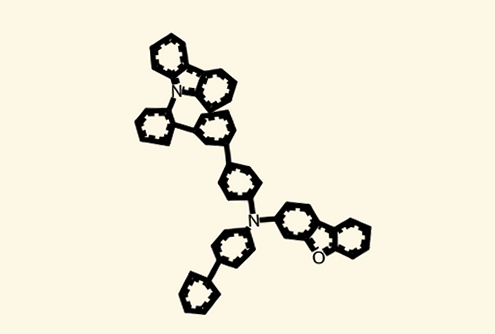 c1ccc(-c2ccc(N(c3ccc(-c4cccc(-c5ccccc5-n5c6ccccc6c6ccccc65)c4)cc3)c3ccc4c(c3)oc3ccccc34)cc2)cc1